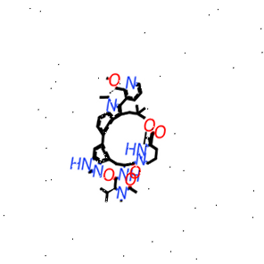 CCn1c(-c2cccnc2[C@H](C)OC)c2c3cc(ccc31)-c1cc(c3nc[nH]c3c1)C[C@H](NC(=O)[C@H](C(C)C)N(C)C(C)=O)C(=O)N1CCC[C@H](N1)C(=O)OCC(C)(C)C2